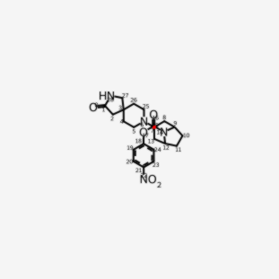 O=C1CC2(CCN(C3CC4CCC(C3)N4C(=O)Oc3ccc([N+](=O)[O-])cc3)CC2)CN1